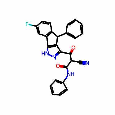 N#CC(C(=O)Nc1ccccc1)C(=O)c1n[nH]c2c1C(c1ccccc1)c1ccc(F)cc1-2